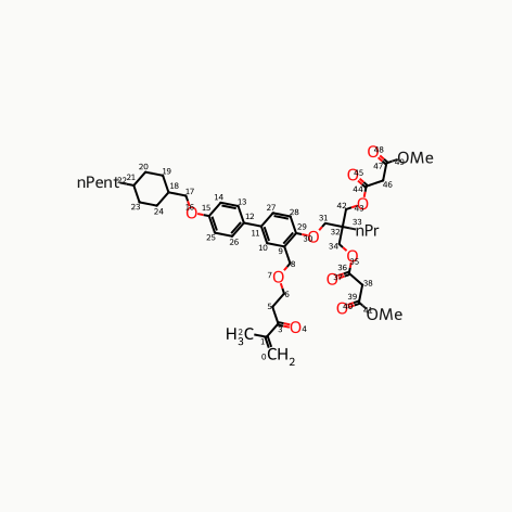 C=C(C)C(=O)CCOCc1cc(-c2ccc(OCC3CCC(CCCCC)CC3)cc2)ccc1OCC(CCC)(COC(=O)CC(=O)OC)COC(=O)CC(=O)OC